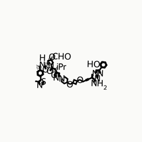 Cc1ncsc1-c1ccc([C@H](C)NC(=O)[C@@H]2C[C@@H](OC=O)CN2C(=O)[C@@H](c2cc(N3CCC(OC4CC(OCC#Cc5cn6cc(-c7ccccc7O)nc6nc5N)C4)CC3)no2)C(C)C)cc1